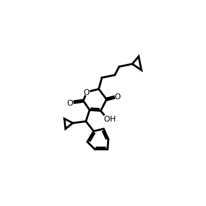 O=C1OC(CCCC2CC2)C(=O)C(O)=C1C(c1ccccc1)C1CC1